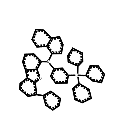 c1ccc(-c2cccc3c2oc2c(N(c4cccc([Si](c5ccccc5)(c5ccccc5)c5ccccc5)c4)c4cccc5ccccc45)cccc23)cc1